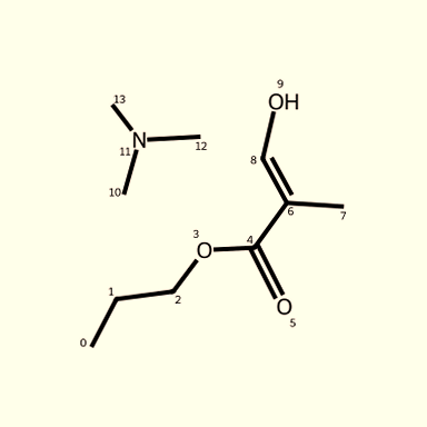 CCCOC(=O)C(C)=CO.CN(C)C